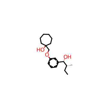 CC[C@@H](C)[C@@H](O)c1cccc(OCC2(O)CCCCCC2)c1